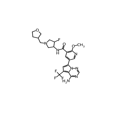 COc1ncc(-c2cc(C(F)(F)F)c3c(N)ncnn23)cc1C(=O)NC1CN(CC2CCOC2)CC1F